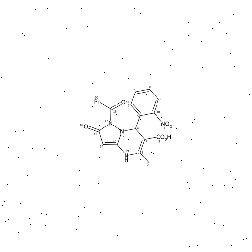 CC1=C(C(=O)O)C(c2ccccc2[N+](=O)[O-])n2c(cc(=O)n2C(=O)C(C)C)N1